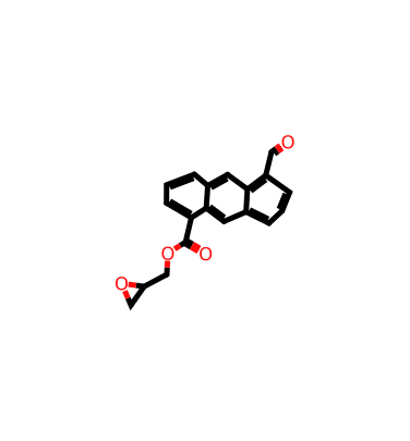 O=Cc1cccc2cc3c(C(=O)OCC4CO4)cccc3cc12